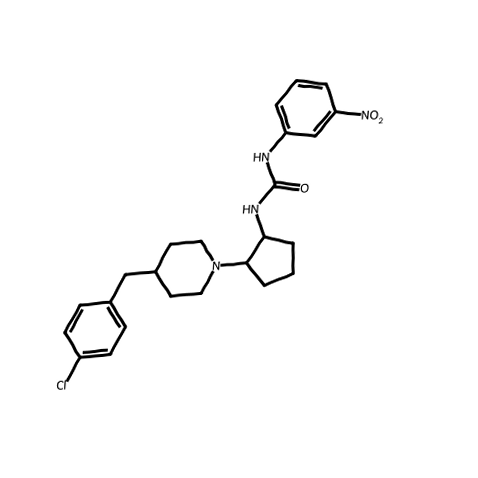 O=C(Nc1cccc([N+](=O)[O-])c1)NC1CCCC1N1CCC(Cc2ccc(Cl)cc2)CC1